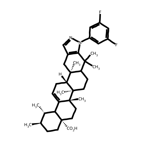 C[C@@H]1CC[C@]2(C(=O)O)CC[C@]3(C)C(=CC[C@@H]4[C@@]5(C)Cc6cnn(-c7cc(F)cc(F)c7)c6C(C)(C)C5CC[C@]43C)C2[C@H]1C